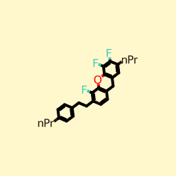 CCCc1ccc(CCc2ccc3c(c2F)Oc2c(cc(CCC)c(F)c2F)C3)cc1